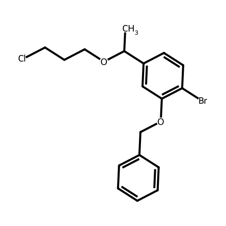 CC(OCCCCl)c1ccc(Br)c(OCc2ccccc2)c1